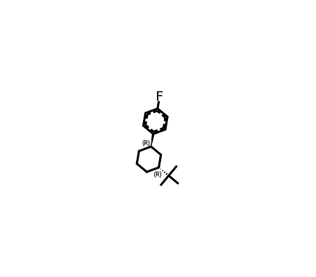 CC(C)(C)[C@@H]1CCC[C@@H](c2ccc(F)cc2)C1